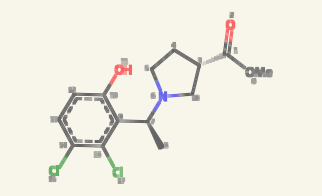 COC(=O)[C@H]1CCN([C@@H](C)c2c(O)ccc(Cl)c2Cl)C1